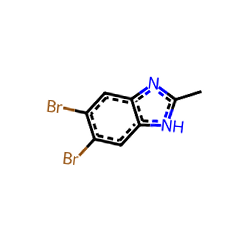 Cc1nc2cc(Br)c(Br)cc2[nH]1